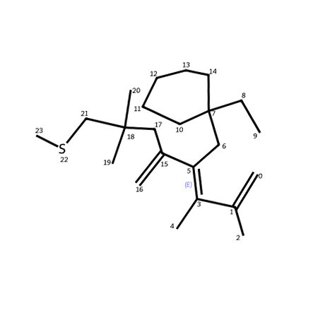 C=C(C)/C(C)=C(\CC1(CC)CCCCC1)C(=C)CC(C)(C)CSC